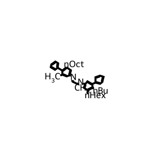 CCCCCCCCc1cc(N=CC(C)=Nc2cc(CCCCCC)c(CCCC)c(-c3ccccc3)c2)cc(C)c1-c1ccccc1